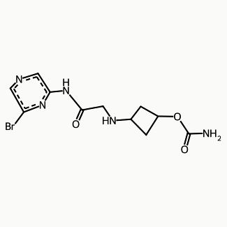 NC(=O)OC1CC(NCC(=O)Nc2cncc(Br)n2)C1